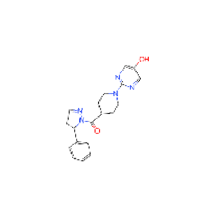 O=C(C1CCN(c2ncc(O)cn2)CC1)N1N=CCC1c1ccccc1